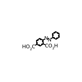 O=C(O)c1ccc(N=Nc2ccccc2)c(C(=O)O)c1